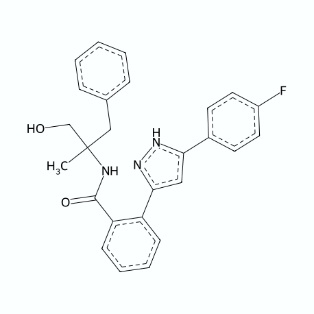 CC(CO)(Cc1ccccc1)NC(=O)c1ccccc1-c1cc(-c2ccc(F)cc2)[nH]n1